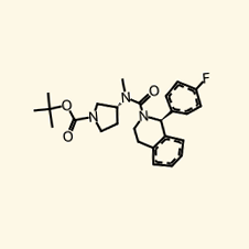 CN(C(=O)N1CCc2ccccc2[C@@H]1c1ccc(F)cc1)[C@@H]1CCN(C(=O)OC(C)(C)C)C1